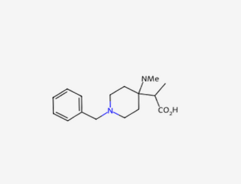 CNC1(C(C)C(=O)O)CCN(Cc2ccccc2)CC1